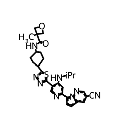 CC(C)Nc1cc(-c2ccc3cc(C#N)cnn23)ncc1-c1nnc(C2CCC(NC(=O)C3(C)COC3)CC2)s1